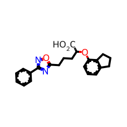 O=C(O)C(CCCc1nc(-c2ccccc2)no1)Oc1cccc2c1CCC2